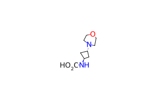 O=C(O)N[C@H]1C[C@H](N2CCOCC2)C1